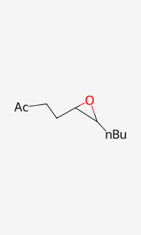 CCCCC1OC1CCC(C)=O